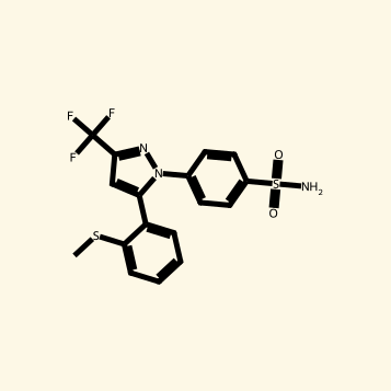 CSc1ccccc1-c1cc(C(F)(F)F)nn1-c1ccc(S(N)(=O)=O)cc1